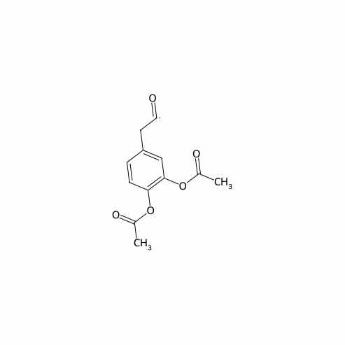 CC(=O)Oc1ccc(C[C]=O)cc1OC(C)=O